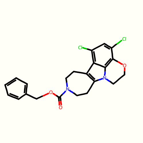 O=C(OCc1ccccc1)N1CCc2c(n3c4c(c(Cl)cc(Cl)c24)OCC3)CC1